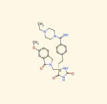 CCN1CCN(C(=N)c2ccc(CC[C@]3(CN4Cc5ccc(OC)cc5C4=O)NC(=O)NC3=O)cc2)CC1